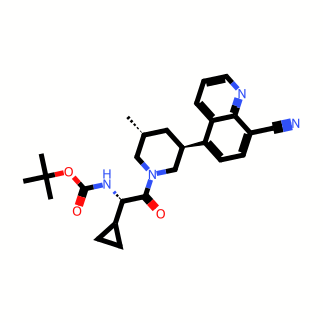 C[C@@H]1C[C@@H](c2ccc(C#N)c3ncccc23)CN(C(=O)[C@@H](NC(=O)OC(C)(C)C)C2CC2)C1